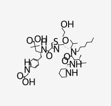 CCCCCCN(C(=O)[C@@H](NC(=O)[C@H]1CCCCN1)[C@@H](C)CC)[C@H](C[C@@H](OCCCO)c1nc(C(=O)N[C@@H](Cc2ccc(NCC(=O)O)cc2)CC(C)(C)C(=O)O)cs1)C(C)C